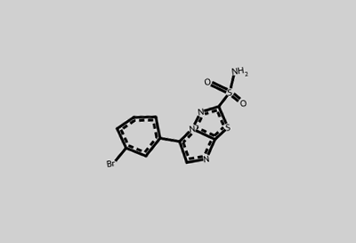 NS(=O)(=O)c1nn2c(-c3cccc(Br)c3)cnc2s1